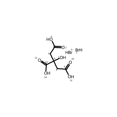 Br.Br.O=C(O)CC(O)(CC(=O)O)C(=O)O